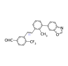 Cc1c(/C=C/c2cc(C=O)ccc2C(F)(F)F)cccc1-c1ccc2ncoc2c1